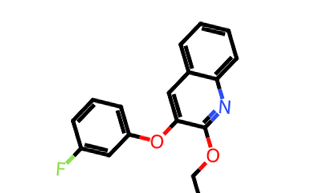 CCOc1nc2ccccc2cc1Oc1cccc(F)c1